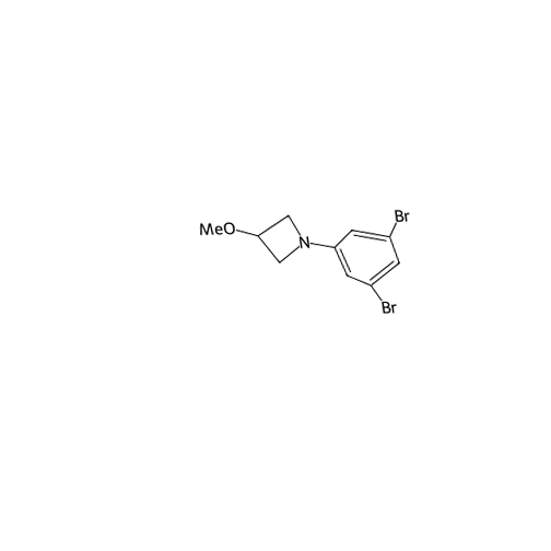 COC1CN(c2cc(Br)cc(Br)c2)C1